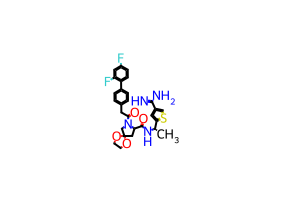 C[C@@H](NC(=O)C1CC2(CN1C(=O)Cc1ccc(-c3ccc(F)cc3F)cc1)OCCO2)c1cc(C(=N)N)cs1